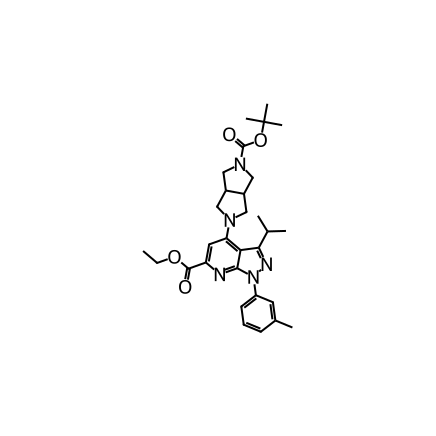 CCOC(=O)c1cc(N2CC3CN(C(=O)OC(C)(C)C)CC3C2)c2c(C(C)C)nn(-c3cccc(C)c3)c2n1